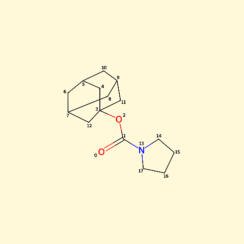 O=C(OC12CC3CC(CC(C3)C1)C2)N1CCCC1